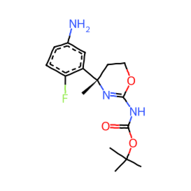 CC(C)(C)OC(=O)NC1=N[C@](C)(c2cc(N)ccc2F)CCO1